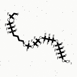 FCC(F)(F)OC(F)(F)C(F)(F)C(F)(F)CCCCOC(F)(F)OC(F)(F)C(F)(F)OC(F)(F)C(F)(F)C(F)(F)OC(F)(F)C(F)(F)C(F)(F)C(F)(F)OC(F)(F)F